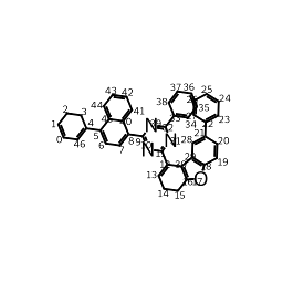 C1=CCCC(c2ccc(-c3nc(C4=CCCc5oc6ccc(-c7ccccc7)cc6c54)nc(-c4ccccc4)n3)c3ccccc23)=C1